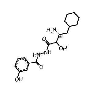 N[C@H](CC1CCCCC1)C(O)C(=O)NNC(=O)c1cccc(O)c1